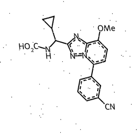 COc1ccc(-c2cccc(C#N)c2)n2nc(C(NC(=O)O)C3CC3)nc12